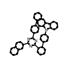 c1ccc(-c2ccc(-c3nc(-c4ccc5ccccc5c4)nc(-c4ccccc4-c4ccc(-n5c6ccccc6c6ccccc65)cc4)n3)cc2)cc1